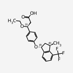 CCO[C@@H](CC(=O)O)c1ccc(O[C@@H]2C[C@@H](C)c3c2cccc3C(F)(F)F)cc1